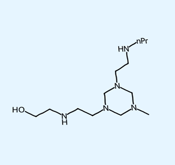 CCCNCCN1CN(C)CN(CCNCCO)C1